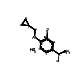 C[C@@H](N)c1ccc(OCC2CC2)c(F)c1.Cl